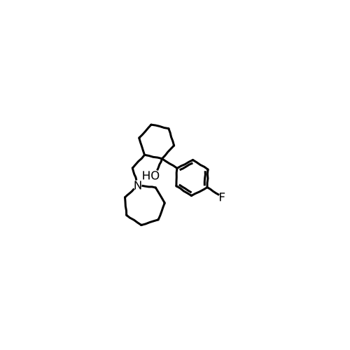 OC1(c2ccc(F)cc2)CCCCC1CN1CCCCCC1